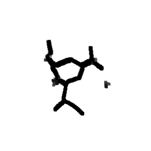 CSC1=CC(=[N+](C)C)CC(C(C)C)N1.[I-]